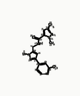 CCn1nc(-c2ccnc(C(F)(F)F)c2)cc1CNC(=O)c1cc(C(F)(F)F)nn1C